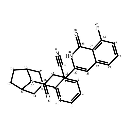 N#Cc1cccnc1N1CC2CCC(C1)N2C(=O)CCc1cc2cccc(F)c2c(=O)[nH]1